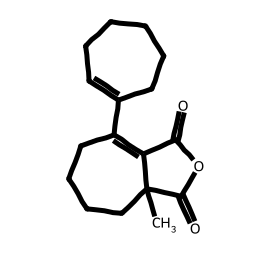 CC12CCCCC(C3=CCCCCC3)=C1C(=O)OC2=O